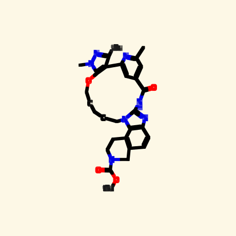 Cc1cc2cc(n1)-c1c(C(C)(C)C)nn(C)c1OCCCCCn1c(nc3ccc4c(c31)CCN(C(=O)OC(C)(C)C)C4)NC2=O